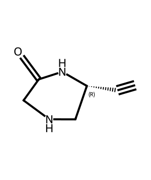 C#C[C@@H]1CNCC(=O)N1